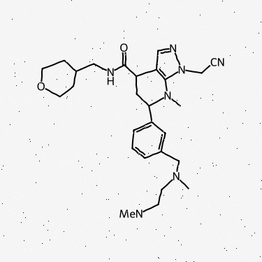 CNCCN(C)Cc1cccc(C2CC(C(=O)NCC3CCOCC3)c3cnn(CC#N)c3N2C)c1